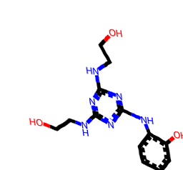 OCCNc1nc(NCCO)nc(Nc2ccccc2O)n1